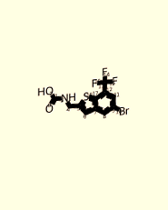 O=C(O)NCc1cc2cc(Br)cc(C(F)(F)F)c2s1